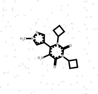 Cn1cc(-c2c([N+](=O)[O-])c(=O)n(C3CCC3)c(=O)n2C2CCC2)cn1